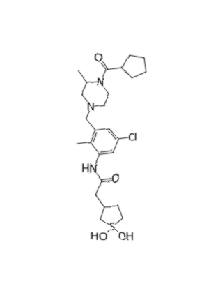 Cc1c(CN2CCN(C(=O)C3CCCC3)C(C)C2)cc(Cl)cc1NC(=O)CC1CCS(O)(O)C1